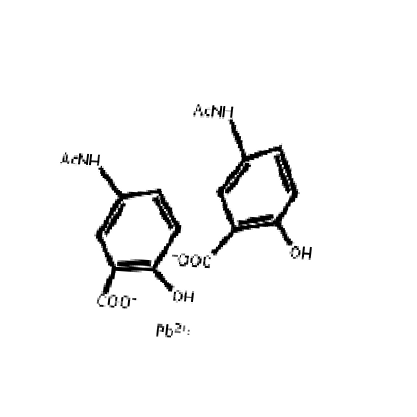 CC(=O)Nc1ccc(O)c(C(=O)[O-])c1.CC(=O)Nc1ccc(O)c(C(=O)[O-])c1.[Pb+2]